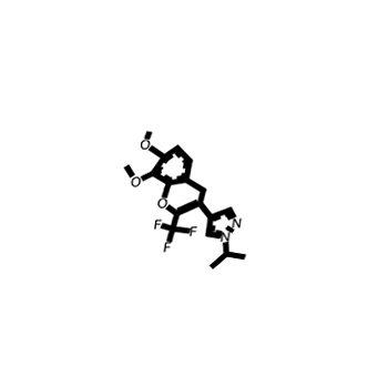 COc1ccc2c(c1OC)OC(C(F)(F)F)=C(c1cnn(C(C)C)c1)C2